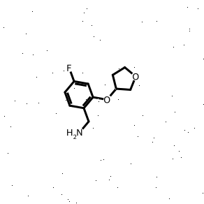 NCc1ccc(F)cc1OC1CCOC1